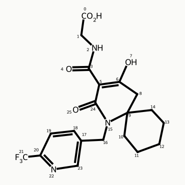 O=C(O)CNC(=O)C1=C(O)CC2(CCCCC2)N(Cc2ccc(C(F)(F)F)nc2)C1=O